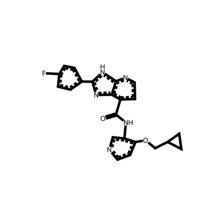 O=C(Nc1cnccc1OCC1CC1)c1ccnc2[nH]c(-c3ccc(F)cc3)nc12